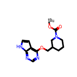 CC(C)(C)OC(=O)N1CCCC(COc2ncnc3[nH]ccc23)C1